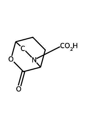 O=C1OC2CCC1N(C(=O)O)C2